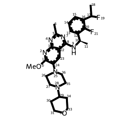 COc1nc2nc(C)nc(N[C@H](C)c3cccc(C(C)F)c3F)c2cc1N1CCN(C2CCOCC2)CC1